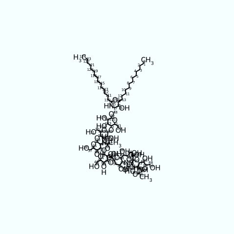 CCCCCCCCCCCCC/C=C/[C@@H](O)[C@H](CO[C@@H]1OC(CO)[C@@H](O[C@@H]2OC(CO)[C@H](O[C@@H]3OC(CO)[C@H](O)[C@H](O[C@@H]4OC(CO)[C@H](O)[C@H](O[C@]5(C(=O)O)CC(O)[C@@H](NC(C)=O)C([C@H](O)[C@@H](CO)O[C@]6(C(=O)O)CC(O)[C@@H](NC(C)=O)C([C@H](O)[C@H](O)CO)O6)O5)C4O)C3NC(C)=O)[C@H](O)C2O)[C@H](O)C1O)NC(=O)CCCCCCCCCCCCCCC